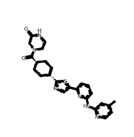 Cc1ccnc(Nc2cccc(-c3cnc([C@H]4CC[C@H](C(=O)N5CCNC(=O)C5)CC4)s3)n2)c1